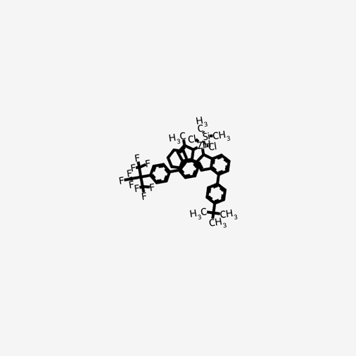 CC1=Cc2c(-c3ccc(C(C(F)(F)F)(C(F)(F)F)C(F)(F)F)cc3)cccc2[CH]1[Zr]([Cl])([Cl])([CH]1C(C2CCCCC2)=Cc2c(-c3ccc(C(C)(C)C)cc3)cccc21)[SiH](C)C